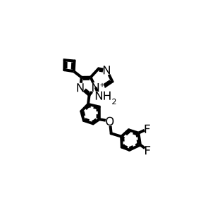 N[N+]12C=CN=CC1=C(C1=CC=C1)N=C2c1cccc(OCc2ccc(F)c(F)c2)c1